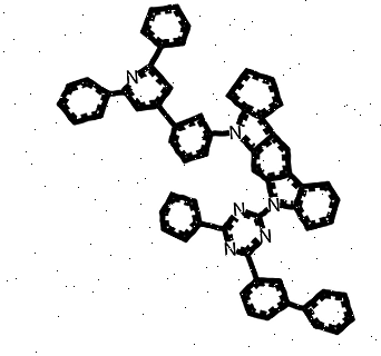 c1ccc(-c2cccc(-c3nc(-c4ccccc4)nc(-n4c5ccccc5c5cc6c7ccccc7n(-c7cccc(-c8cc(-c9ccccc9)nc(-c9ccccc9)c8)c7)c6cc54)n3)c2)cc1